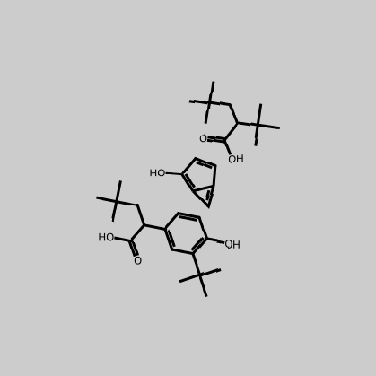 CC(C)(C)CC(C(=O)O)C(C)(C)C.CC(C)(C)CC(C(=O)O)c1ccc(O)c(C(C)(C)C)c1.Oc1ccc2cc1-2